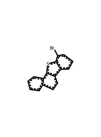 Brc1cccc2c1sc1c3ccccc3ccc21